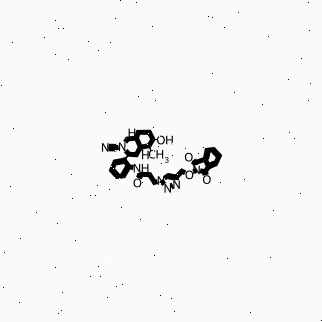 C[C@@H]1[C@H]2C[C@@H](c3ccccc3NC(=O)CCn3cc(CON4C(=O)c5ccccc5C4=O)nn3)N(C#N)C[C@@H]2CC[C@@H]1O